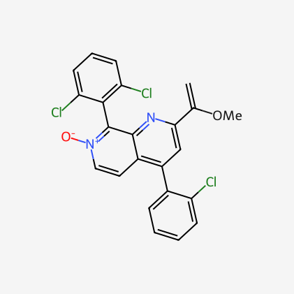 C=C(OC)c1cc(-c2ccccc2Cl)c2cc[n+]([O-])c(-c3c(Cl)cccc3Cl)c2n1